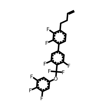 C=CCCc1ccc(-c2cc(F)c(C(F)(F)Oc3cc(F)c(F)c(F)c3)c(F)c2)c(F)c1F